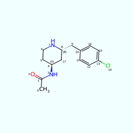 CC(=O)N[C@H]1CCN[C@H](Cc2ccc(Cl)cc2)C1